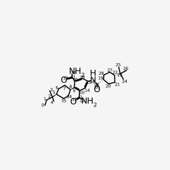 CCC(C)(C)[C@H]1CC[C@@H](c2c(C(N)=O)cc(NC(=O)[C@H]3CC[C@@H](C(C)(C)C)CC3)cc2C(N)=O)CC1